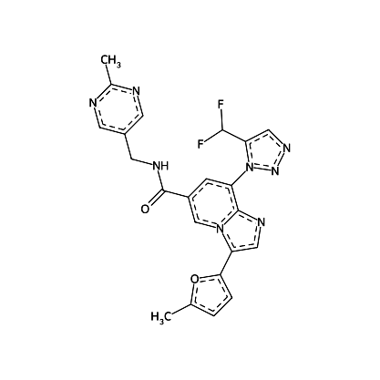 Cc1ncc(CNC(=O)c2cc(-n3nncc3C(F)F)c3ncc(-c4ccc(C)o4)n3c2)cn1